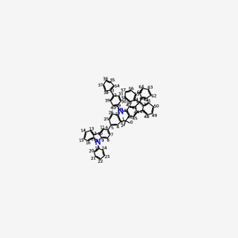 CC1(C)c2cc(-c3ccc4c(c3)c3ccccc3n4-c3ccccc3)ccc2N(c2ccc(-c3ccccc3)cc2)c2cc3c(cc21)-c1ccccc1C3(c1ccccc1)c1ccccc1